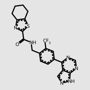 O=C(NCc1ccc(-c2ncnc3[nH]ncc23)cc1C(F)(F)F)c1nc2c(s1)CCCC2